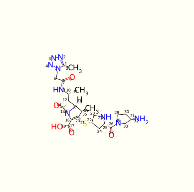 Cc1nnnn1CC(=O)N[C@H](C)[C@H]1C(=O)N2C(C(=O)O)=C(S[C@@H]3CN[C@H](C(=O)N4CC[C@@H](N)C4)C3)[C@H](C)[C@H]12